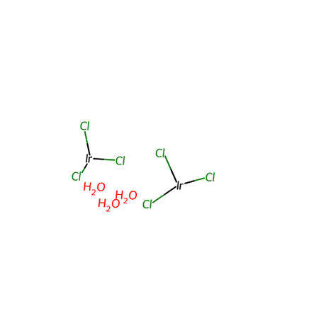 O.O.O.[Cl][Ir]([Cl])[Cl].[Cl][Ir]([Cl])[Cl]